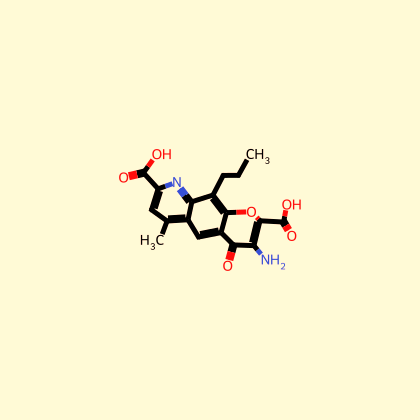 CCCc1c2nc(C(=O)O)cc(C)c2cc2c(=O)c(N)c(C(=O)O)oc12